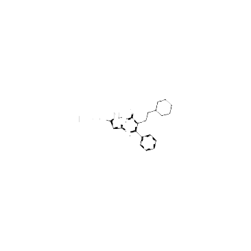 O=C(O)c1cc2[nH]c(-c3ccccc3)c(CCC3CCCCC3)c(=O)n2n1